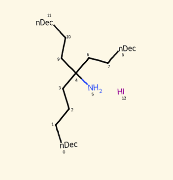 CCCCCCCCCCCCCC(N)(CCCCCCCCCCCC)CCCCCCCCCCCC.I